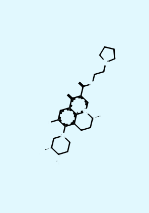 C[C@H]1CN(c2c(F)cc3c(=O)c(C(=O)OCCN4CCCC4)cn4c3c2CC[C@@H]4C)CC[C@@H]1O